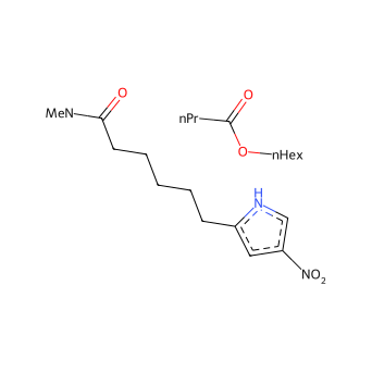 CCCCCCOC(=O)CCC.CNC(=O)CCCCCc1cc([N+](=O)[O-])c[nH]1